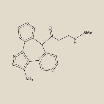 CSNCCC(=O)C1c2ccccc2-c2nnn(C)c2-c2ccccc21